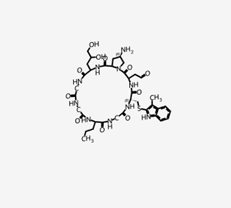 CCCC1NC(=O)CNC(=O)CNC(=O)C(CC(O)CO)NC(=O)C2C[C@@H](N)CN2C(=O)C(CC=O)NC(=O)[C@H](CSc2[nH]c3ccccc3c2C)NC(=O)CNC1=O